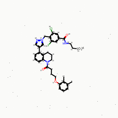 Cc1cccc(OCCCC(=O)N2CCCc3c(-c4cnn(Cc5c(F)cc(C(=O)NCCS(=O)(=O)O)cc5Cl)c4)cccc32)c1C